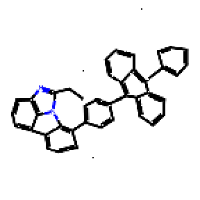 CCc1nc2cccc3c4cccc(-c5ccc(-c6c7ccccc7c(-c7ccccc7)c7ccccc67)cc5)c4n1c23